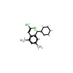 Cc1cc(C)c(C=C(Br)Br)c(CC2CCCCC2)c1